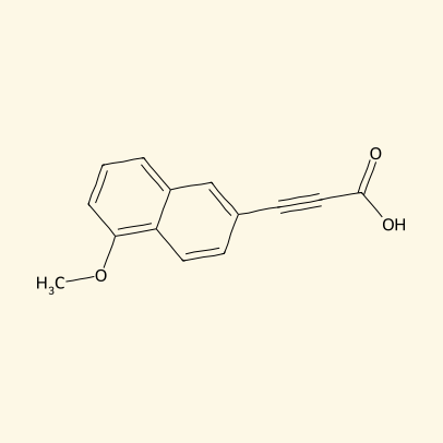 COc1cccc2cc(C#CC(=O)O)ccc12